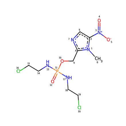 Cn1c([N+](=O)[O-])cnc1COP(=O)(NCCCl)NCCCl